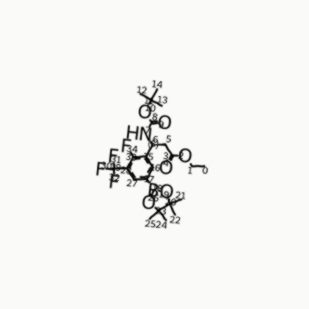 CCOC(=O)C[C@H](NC(=O)OC(C)(C)C)c1cc(B2OC(C)(C)C(C)(C)O2)cc(C(F)(F)F)c1F